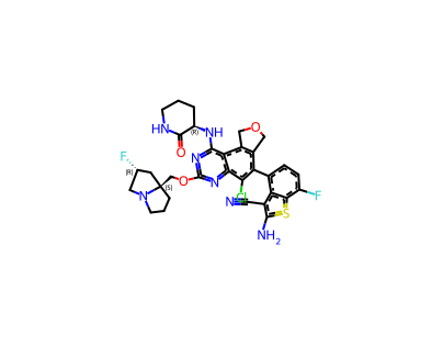 N#Cc1c(N)sc2c(F)ccc(-c3c4c(c5c(N[C@@H]6CCCNC6=O)nc(OC[C@@]67CCCN6C[C@H](F)C7)nc5c3Cl)COC4)c12